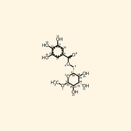 CO[C@H]1O[C@H](COC(=O)c2cc(O)c(O)c(O)c2)[C@@H](O)[C@H](O)[C@H]1O